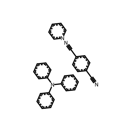 N#Cc1ccc(C#N)cc1.c1ccc(N(c2ccccc2)c2ccccc2)cc1.c1ccncc1